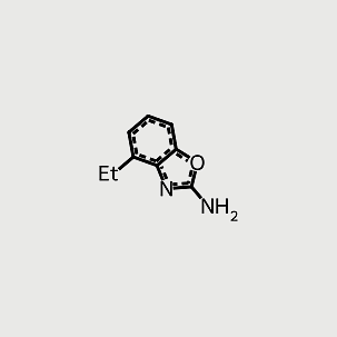 CCc1cccc2oc(N)nc12